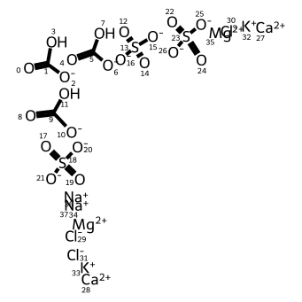 O=C([O-])O.O=C([O-])O.O=C([O-])O.O=S(=O)([O-])[O-].O=S(=O)([O-])[O-].O=S(=O)([O-])[O-].[Ca+2].[Ca+2].[Cl-].[Cl-].[Cl-].[K+].[K+].[Mg+2].[Mg+2].[Na+].[Na+]